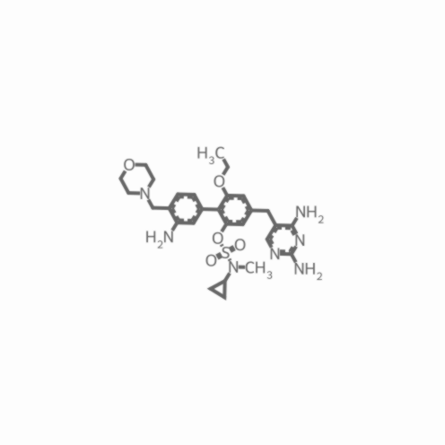 CCOc1cc(Cc2cnc(N)nc2N)cc(OS(=O)(=O)N(C)C2CC2)c1-c1ccc(CN2CCOCC2)c(N)c1